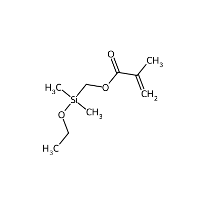 C=C(C)C(=O)OC[Si](C)(C)OCC